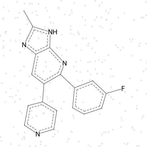 Cc1nc2cc(-c3ccncc3)c(-c3cccc(F)c3)nc2[nH]1